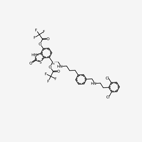 O=C(Oc1ccc([C@H](CNCCCc2cccc(CNCCc3c(Cl)cccc3Cl)c2)OC(=O)C(F)(F)F)c2sc(=O)[nH]c12)C(F)(F)F